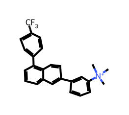 C[N+](C)(C)c1cccc(-c2ccc3c(-c4ccc(C(F)(F)F)cc4)cccc3c2)c1